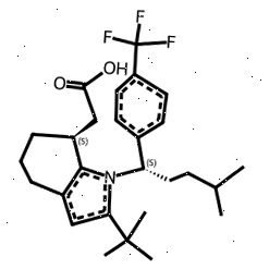 CC(C)CC[C@@H](c1ccc(C(F)(F)F)cc1)n1c(C(C)(C)C)cc2c1[C@H](CC(=O)O)CCC2